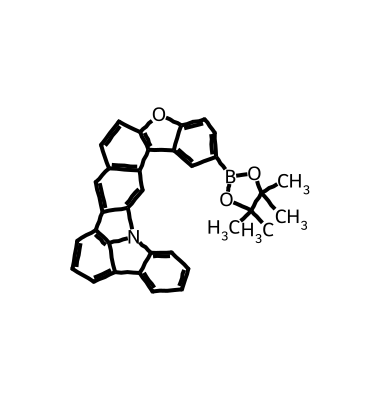 CC1(C)OB(c2ccc3oc4ccc5cc6c7cccc8c9ccccc9n(c6cc5c4c3c2)c87)OC1(C)C